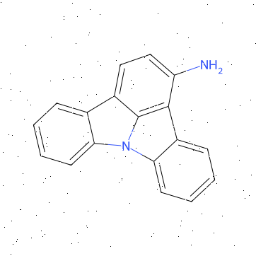 Nc1ccc2c3ccccc3n3c4ccccc4c1c23